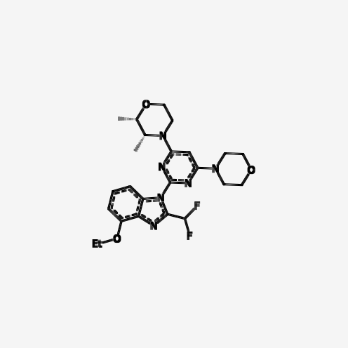 CCOc1cccc2c1nc(C(F)F)n2-c1nc(N2CCOCC2)cc(N2CCO[C@@H](C)[C@H]2C)n1